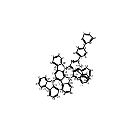 c1ccc(-c2ccc(-c3nc(-c4ccccc4)nc(-n4c5ccccc5c5cc(-n6c7ccccc7c7ccccc76)c6c7ccccc7n(-c7ccc8ccccc8c7)c6c54)n3)cc2)cc1